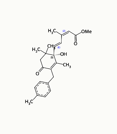 COC(=O)/C=C(C)\C=C\[C@@]1(O)C(C)=C(Cc2ccc(C)cc2)C(=O)CC1(C)C